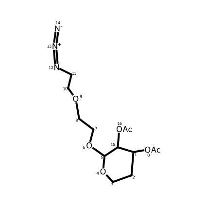 CC(=O)OC1CCOC(OCCOCCN=[N+]=[N-])C1OC(C)=O